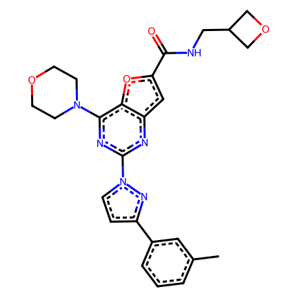 Cc1cccc(-c2ccn(-c3nc(N4CCOCC4)c4oc(C(=O)NCC5COC5)cc4n3)n2)c1